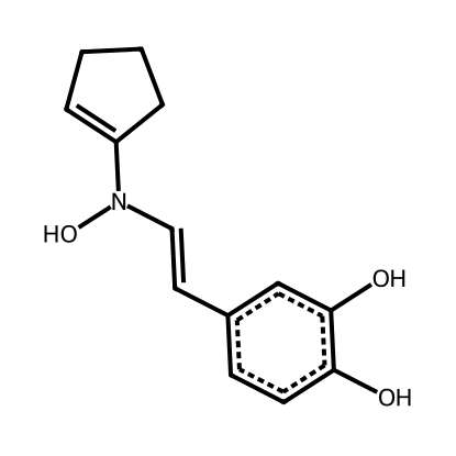 Oc1ccc(/C=C/N(O)C2=CCCC2)cc1O